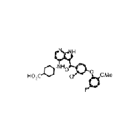 COc1ccc(F)cc1Oc1ccc(C(=O)c2c[nH]c3nccc(N[C@H]4CC[C@H](C(=O)O)CC4)c23)c(Cl)c1